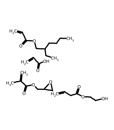 C=C(C)C(=O)OCC1CO1.C=CC(=O)O.C=CC(=O)OCC(CC)CCCC.C=CCC(=O)OCCO